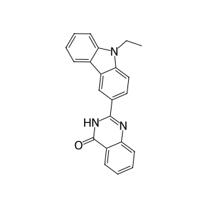 CCn1c2ccccc2c2cc(-c3nc4ccccc4c(=O)[nH]3)ccc21